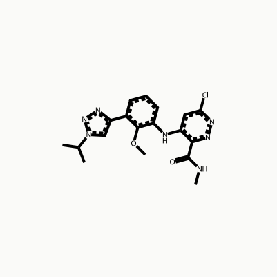 CNC(=O)c1nnc(Cl)cc1Nc1cccc(-c2cn(C(C)C)nn2)c1OC